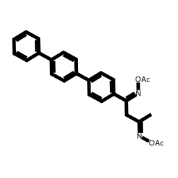 CC(=O)O/N=C(/C/C(C)=N/OC(C)=O)c1ccc(-c2ccc(-c3ccccc3)cc2)cc1